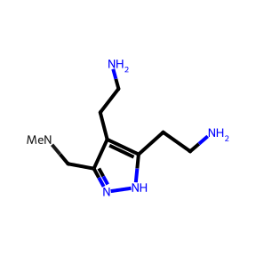 CNCc1n[nH]c(CCN)c1CCN